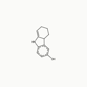 Oc1ccc2c(c1)C1CCCC=C1N2